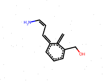 C=c1c(CO)ccc/c1=C/C=C\N